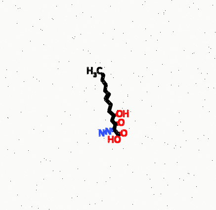 CCCCCC=CCCC(O)CC(=O)C(=[N+]=[N-])C(=O)O